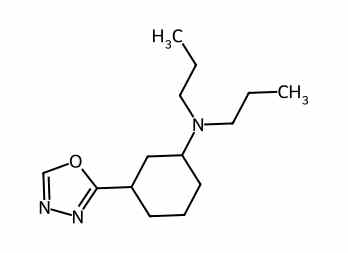 CCCN(CCC)C1CCCC(c2nnco2)C1